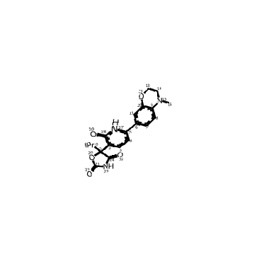 CC(C)C1(c2ccc(-c3ccc4c(c3)OCCN4C)[nH]c2=O)OC(=O)NC1=O